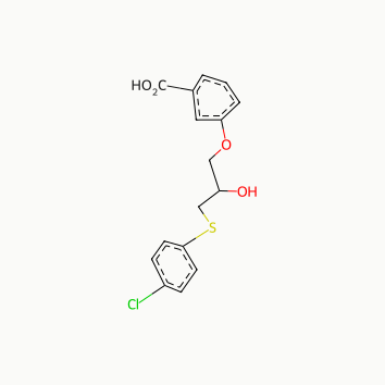 O=C(O)c1cccc(OCC(O)CSc2ccc(Cl)cc2)c1